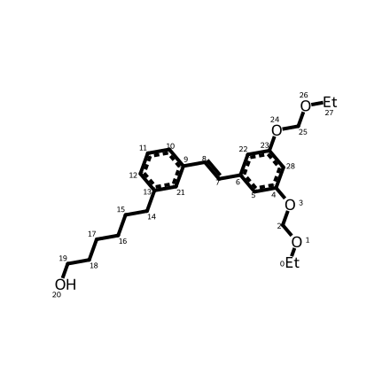 CCOCOc1cc(/C=C/c2cccc(CCCCCCO)c2)cc(OCOCC)c1